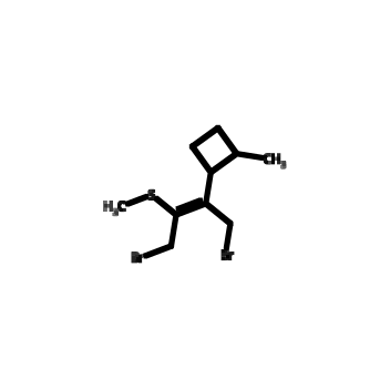 CS/C(CBr)=C(/CBr)C1CCC1C